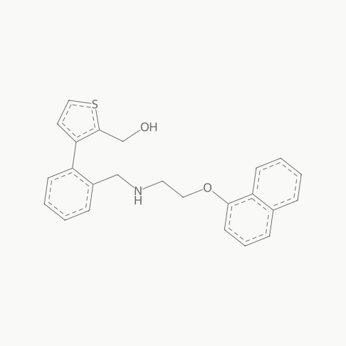 OCc1sccc1-c1ccccc1CNCCOc1cccc2ccccc12